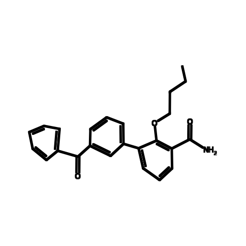 CCCCOc1c(C(N)=O)cccc1-c1cccc(C(=O)c2ccccc2)c1